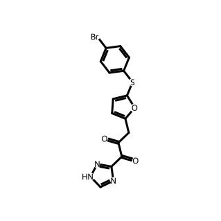 O=C(Cc1ccc(Sc2ccc(Br)cc2)o1)C(=O)c1nc[nH]n1